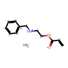 Br.C=CC(=O)OCCNCc1ccccc1